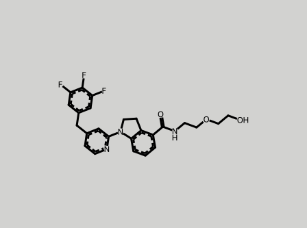 O=C(NCCOCCO)c1cccc2c1CCN2c1cc(Cc2cc(F)c(F)c(F)c2)ccn1